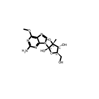 COc1nc(N)nc2c1ncn2[C@@]1(O)O[C@H](CO)[C@@H](O)[C@@]1(C)O